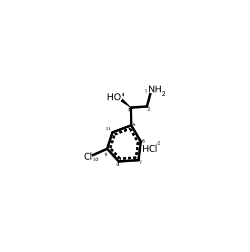 Cl.NC[C@H](O)c1cccc(Cl)c1